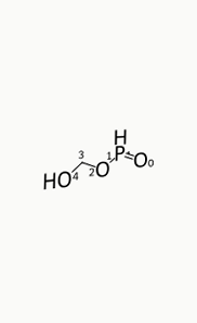 O=[PH]OCO